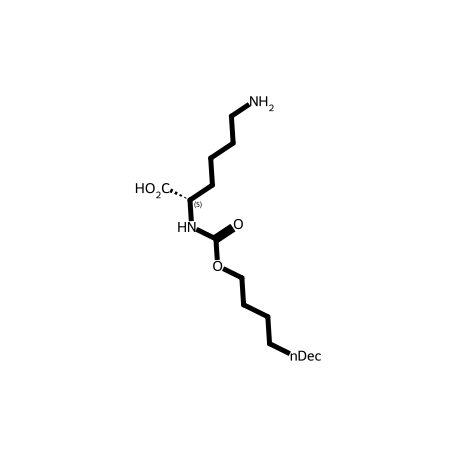 CCCCCCCCCCCCCCOC(=O)N[C@@H](CCCCN)C(=O)O